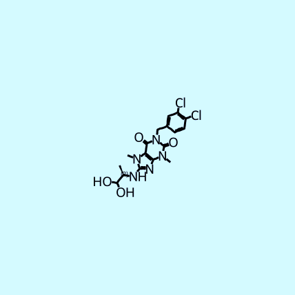 C[C@@H](Nc1nc2c(c(=O)n(Cc3ccc(Cl)c(Cl)c3)c(=O)n2C)n1C)C(O)O